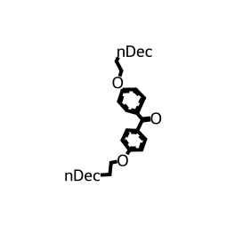 CCCCCCCCCCCCOc1ccc(C(=O)c2ccc(OCCCCCCCCCCCC)cc2)cc1